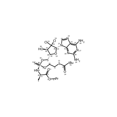 CC(C)OC(=O)[C@@H](C)N[P@](=S)(OCCSC(=O)C(C)(C)C)OC[C@H]1O[C@@H](n2cnc3c(N)nc(N)nc32)C(Cl)(Cl)[C@@H]1O